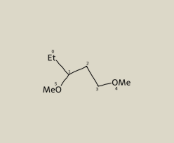 CCC(CCOC)OC